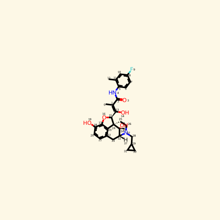 C/C(C(=O)Nc1ccc(F)cc1C)=C(/O)[C@@H]1Oc2c(O)ccc3c2[C@@]12CCN(CC1CC1)[C@H](C3)[C@@]2(C)O